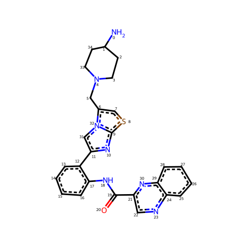 NC1CCN(Cc2csc3nc(-c4ccccc4NC(=O)c4cnc5ccccc5n4)cn23)CC1